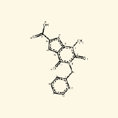 Cn1c(=O)n(Cc2ccccn2)c(=O)c2cc(C(=O)O)sc21